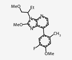 CCC(COC)n1c(OC)nc2c(-c3cc(F)c(OC)cc3C)ccnc21